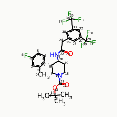 Cc1cc(F)ccc1[C@H]1CN(C(=O)OC(C)(C)C)CC[C@@H]1NC(=O)Cc1cc(C(F)(F)F)cc(C(F)(F)F)c1